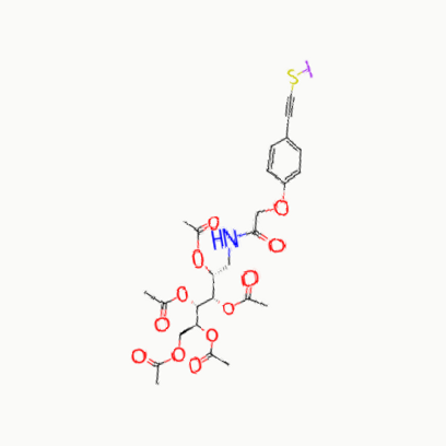 CC(=O)OC[C@H](OC(C)=O)[C@H](OC(C)=O)[C@@H](OC(C)=O)[C@@H](CNC(=O)COc1ccc(C#CSI)cc1)OC(C)=O